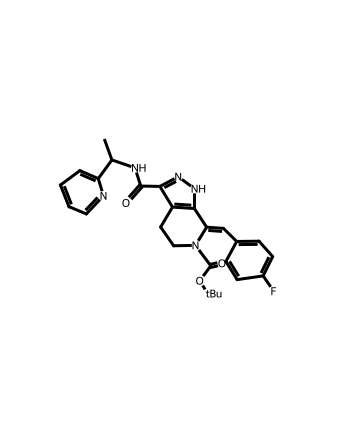 CC(NC(=O)c1n[nH]c2c1CCN(C(=O)OC(C)(C)C)/C2=C\c1ccc(F)cc1)c1ccccn1